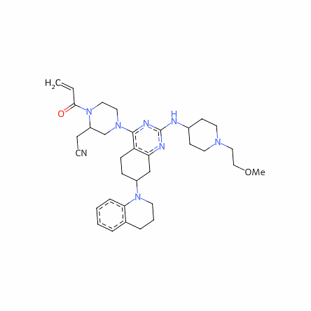 C=CC(=O)N1CCN(c2nc(NC3CCN(CCOC)CC3)nc3c2CCC(N2CCCc4ccccc42)C3)CC1CC#N